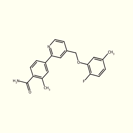 Cc1ccc(F)c(OCc2ccnc(-c3ccc(C(N)=O)c(C)c3)c2)c1